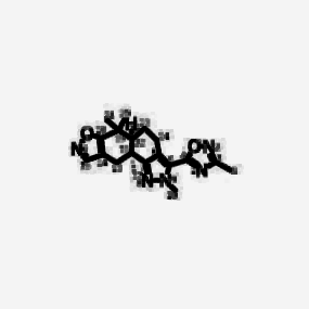 Cc1noc(-c2c3c(nn2C)[C@@]2(C)Cc4cnoc4C(C)(C)[C@@H]2CC3)n1